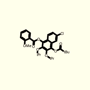 COc1ccccc1C(=O)Oc1c(OC(C)C)c(OC(C)C)c(OC(=O)C(C)(C)C)c2cc(Cl)ccc12